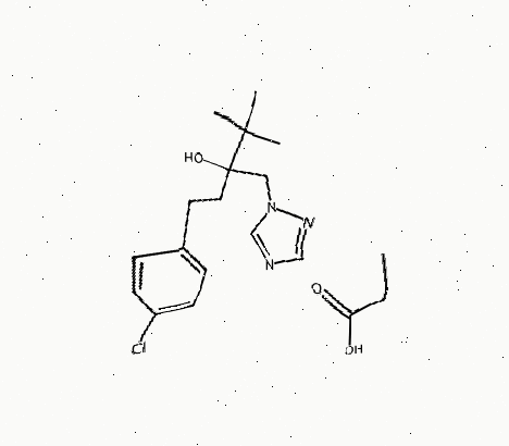 CC(C)(C)C(O)(CCc1ccc(Cl)cc1)Cn1cncn1.CCC(=O)O